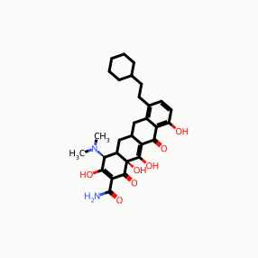 CN(C)[C@@H]1C(O)=C(C(N)=O)C(=O)[C@@]2(O)C(O)=C3C(=O)c4c(O)ccc(CCC5CCCCC5)c4CC3CC12